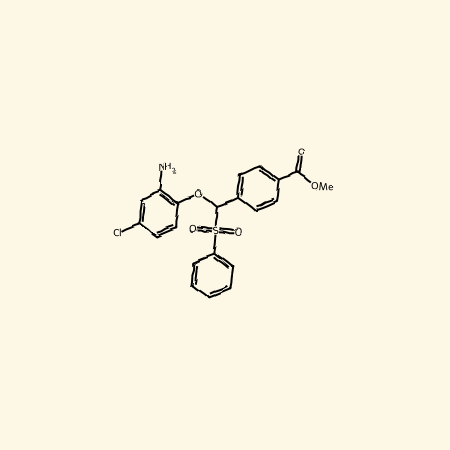 COC(=O)c1ccc(C(Oc2ccc(Cl)cc2N)S(=O)(=O)c2ccccc2)cc1